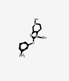 CCC(C)n1c(Oc2cccc(P)c2)nc2c1CCN(C(C)C)C2